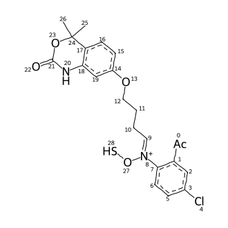 CC(=O)c1cc(Cl)ccc1[N+](=CCCCOc1ccc2c(c1)NC(=O)OC2(C)C)OS